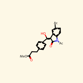 COC(=O)CCc1ccc(C(O)=C2C(=O)N(C(C)=O)c3ccc(C(C)=O)cc32)cc1